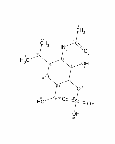 CC(=O)NC1C(O)C(OS(=O)(=O)O)C(CO)OC1C(C)C